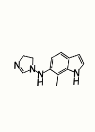 Cc1c(NN2C=NCC2)ccc2cc[nH]c12